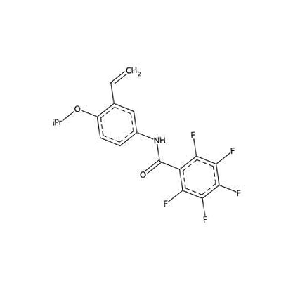 C=Cc1cc(NC(=O)c2c(F)c(F)c(F)c(F)c2F)ccc1OC(C)C